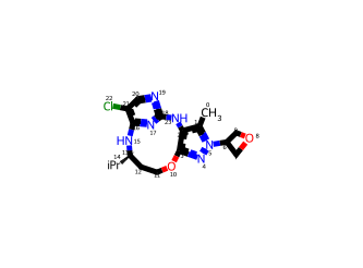 Cc1c2c(nn1C1COC1)OCC[C@@H](C(C)C)Nc1nc(ncc1Cl)N2